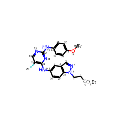 CCOC(=O)CCn1ncc2cc(Nc3nc(Nc4ccc(OC(C)C)cc4)ncc3F)ccc21